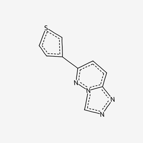 c1cc(-c2ccc3nncn3n2)cs1